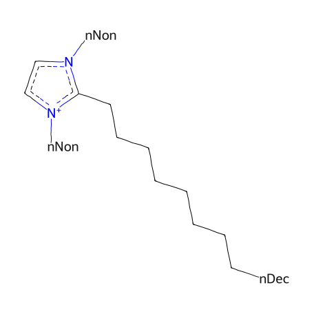 CCCCCCCCCCCCCCCCCCc1n(CCCCCCCCC)cc[n+]1CCCCCCCCC